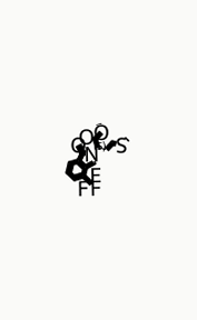 COC(=O)[C@H](CCSC)N1Cc2c(cccc2C(F)(F)F)C1=O